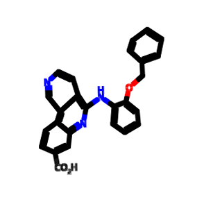 O=C(O)c1ccc2c(c1)nc(Nc1ccccc1OCc1ccccc1)c1ccncc12